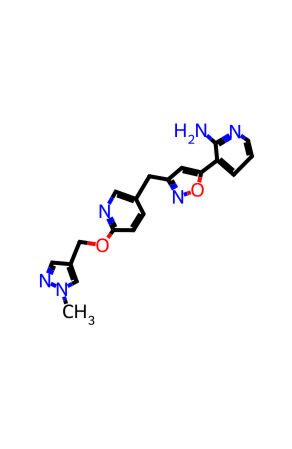 Cn1cc(COc2ccc(Cc3cc(-c4cccnc4N)on3)cn2)cn1